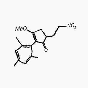 COC1=C(c2c(C)cc(C)cc2C)C(=O)C(CC[N+](=O)[O-])C1